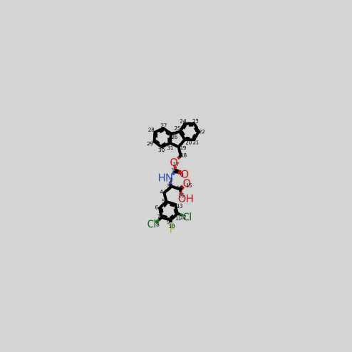 O=C(NC(Cc1cc(Cl)c(F)c(Cl)c1)C(=O)O)OCC1c2ccccc2-c2ccccc21